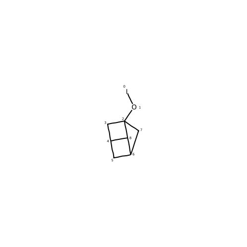 IOC12CC3CC(C1)C32